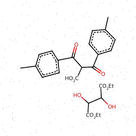 CCOC(=O)C(O)C(O)C(=O)OCC.Cc1ccc(C(=O)C(C(=O)O)C(=O)c2ccc(C)cc2)cc1